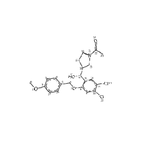 COc1ccc(COc2cc(Cl)c(Cl)cc2C(O)C2CCN(C(C)=O)C2)cc1